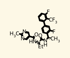 CCN(NC(=O)c1cnc(C)nc1)C(=O)N[C@H](C)c1ccc(-c2cccc(F)c2C(F)(F)F)cc1F